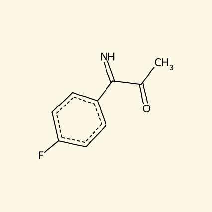 CC(=O)C(=N)c1ccc(F)cc1